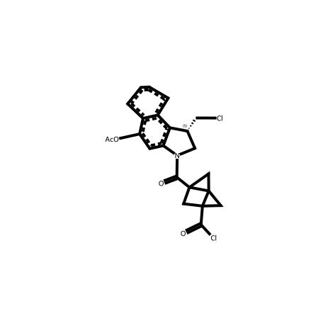 CC(=O)Oc1cc2c(c3ccccc13)[C@H](CCl)CN2C(=O)C12CC3(C(=O)Cl)CC31C2